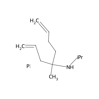 C=CCCC(C)(CC=C)NC(C)C.[P]